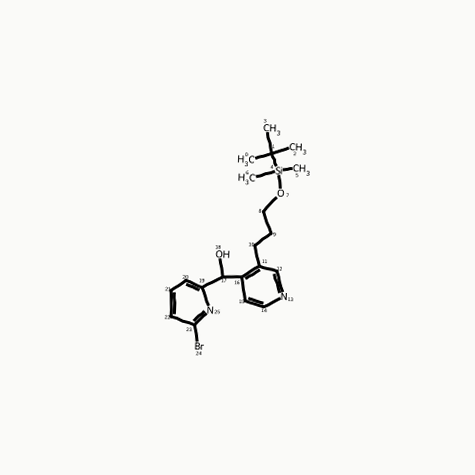 CC(C)(C)[Si](C)(C)OCCCc1cnccc1C(O)c1cccc(Br)n1